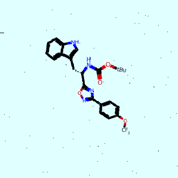 CC(C)(C)OC(=O)N[C@@H](Cc1c[nH]c2ccccc12)c1nc(-c2ccc(OC(F)(F)F)cc2)no1